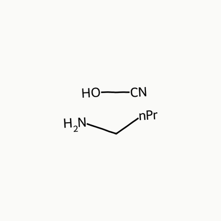 CCCCN.N#CO